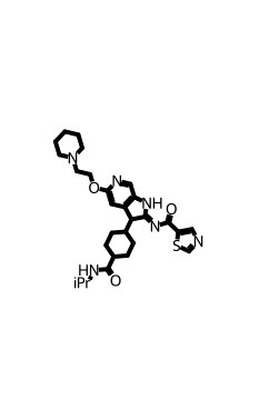 CC(C)NC(=O)C1CCC(C2C(=NC(=O)c3cncs3)Nc3cnc(OCCN4CCCCC4)cc32)CC1